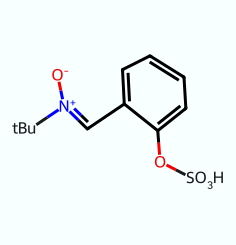 CC(C)(C)[N+]([O-])=Cc1ccccc1OS(=O)(=O)O